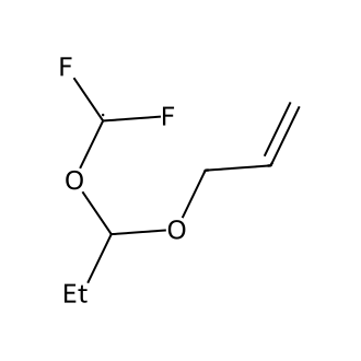 C=CCOC(CC)O[C](F)F